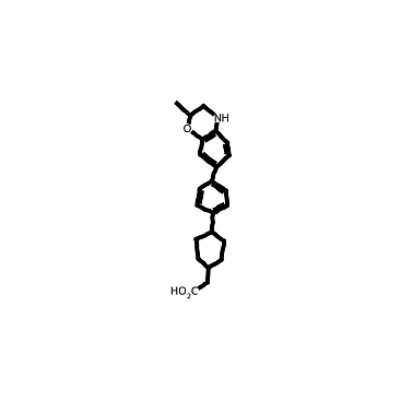 CC1CNc2ccc(-c3ccc(C4CCC(CC(=O)O)CC4)cc3)cc2O1